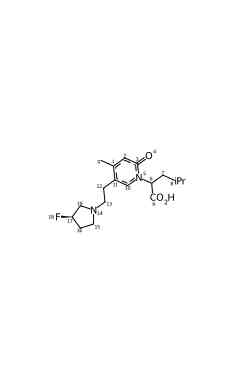 Cc1cc(=O)n(C(CC(C)C)C(=O)O)cc1CCN1CC[C@@H](F)C1